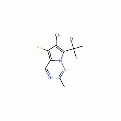 CCC(C)(C)c1c(C#N)c(F)c2cnc(C)nn12